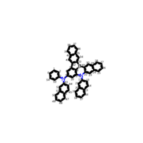 c1ccc(N(c2cc3c4c(c2)N(c2ccc5ccccc5c2)c2cc5ccccc5cc2B4c2cc4ccccc4cc2-3)c2ccc3ccccc3c2)cc1